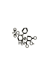 COc1c2n(ccc1=O)N1[C@H](c3ccccc3)C(OS(C)(=O)=O)C=C[C@H]1N(C)C2=O